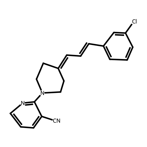 N#Cc1cccnc1N1CCC(=CC=Cc2cccc(Cl)c2)CC1